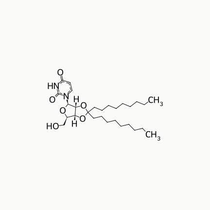 CCCCCCCCCC1(CCCCCCCCC)O[C@@H]2[C@H](O1)[C@@H](CO)O[C@H]2n1ccc(=O)[nH]c1=O